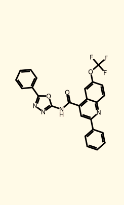 O=C(Nc1nnc(-c2ccccc2)o1)c1cc(-c2ccccc2)nc2ccc(OC(F)(F)F)cc12